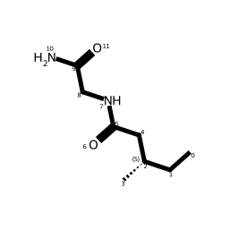 CC[C@H](C)CC(=O)NCC(N)=O